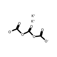 O=C([O-])OC(=O)OC(=O)[O-].[K+].[K+]